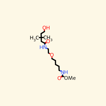 COC(=O)NCCCCCOCCNC(=O)CC(C)(C)CCO